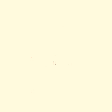 [CH2]C1(N(C=O)OCC2c3ccccc3-c3ccccc32)C=CC(OC)=CC1OC